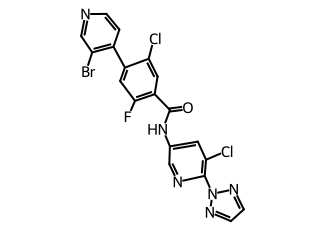 O=C(Nc1cnc(-n2nccn2)c(Cl)c1)c1cc(Cl)c(-c2ccncc2Br)cc1F